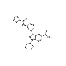 NC(=O)c1ccc2c(c1)c(-c1cccc(NC(=O)c3ccco3)c1)nn2C1CCCCO1